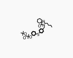 CCCCC1=NC2(CCCCC2)C(=O)N1Cc1ccc(Sc2cccc(OC(C)(C)C(=O)OC(C)(C)C)c2)cc1